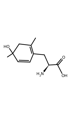 CC1=C(C[C@H](N)C(=O)O)C=CC(C)(O)C1